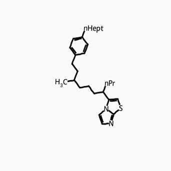 CCCCCCCc1ccc(CCC(C)CCCC(CCC)c2csc3nccn23)cc1